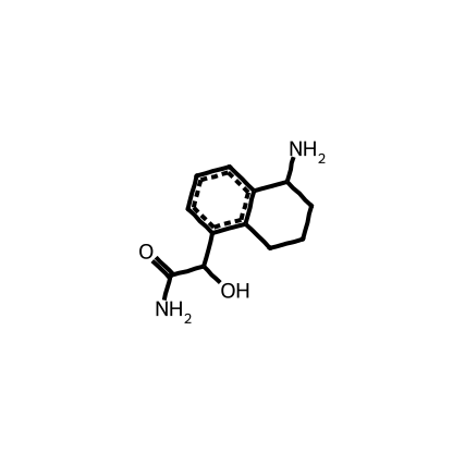 NC(=O)C(O)c1cccc2c1CCCC2N